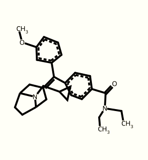 CCN(CC)C(=O)c1ccc(C(=C2CC3CCC(C2)N3CC2CC2)c2cccc(OC)c2)cc1